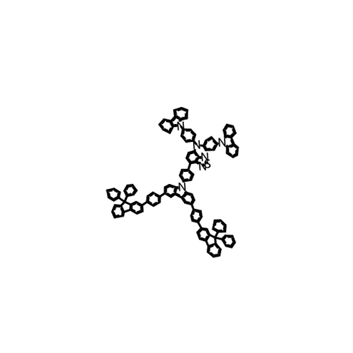 c1ccc(C2(c3ccccc3)c3ccccc3-c3ccc(-c4ccc(-c5ccc6c(c5)c5cc(-c7ccc(-c8ccc9c(c8)C(c8ccccc8)(c8ccccc8)c8ccccc8-9)cc7)ccc5n6-c5ccc(-c6ccc(N(c7ccc(-n8c9ccccc9c9ccccc98)cc7)c7ccc(-n8c9ccccc9c9ccccc98)cc7)c7nsnc67)cc5)cc4)cc32)cc1